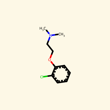 CN(C)CCOc1ccc[c]c1Cl